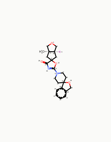 C[C@]12COC[C@@]1(I)CC1(C2)OC(N2CCC3(CC2)OCc2ccccc23)=NC1=O